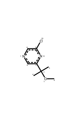 COC(C)(C)c1cncc(Cl)n1